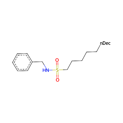 [CH2]CCCCCCCCCCCCCCS(=O)(=O)NCc1ccccc1